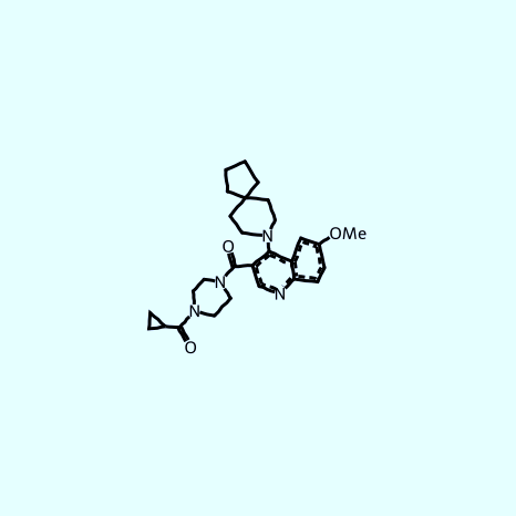 COc1ccc2ncc(C(=O)N3CCN(C(=O)C4CC4)CC3)c(N3CCC4(CCCC4)CC3)c2c1